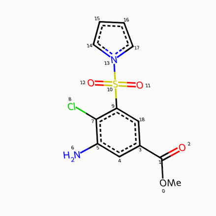 COC(=O)c1cc(N)c(Cl)c(S(=O)(=O)n2cccc2)c1